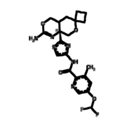 Cc1cc(OC(F)F)cnc1C(=O)Nc1csc([C@]23COC4(CCC4)CC2COC(N)=N3)n1